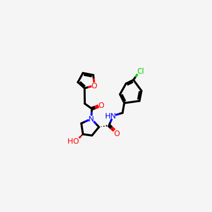 O=C(NCc1ccc(Cl)cc1)[C@@H]1C[C@@H](O)CN1C(=O)Cc1ccco1